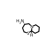 N[C@H]1CCS[C@H]2CCCCN2C1